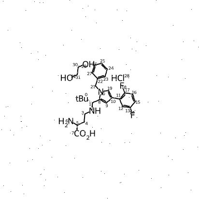 CC(C)(C)[C@@H](NCC[C@H](N)C(=O)O)c1cc(-c2cc(F)ccc2F)cn1Cc1ccccc1.Cl.OCCO